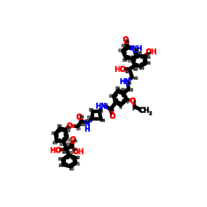 CCOc1cc(C(=O)NC2CC(NC(=O)COc3cccc(C(O)(C(=O)O)c4ccccc4)c3)C2)ccc1CNCC(O)c1ccc(O)c2[nH]c(=O)ccc12